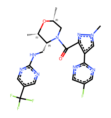 C[C@@H]1CN(C(=O)c2nn(C)cc2-c2ncc(F)cn2)[C@H](CNc2ncc(C(F)(F)F)cn2)[C@H](C)O1